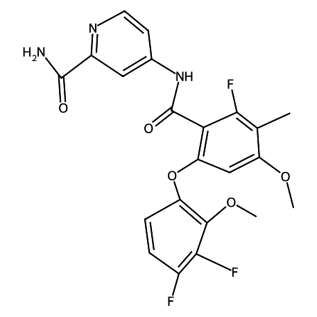 COc1cc(Oc2ccc(F)c(F)c2OC)c(C(=O)Nc2ccnc(C(N)=O)c2)c(F)c1C